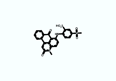 Cn1c(=O)cc2c3c(c(Nc4ccc(S(C)(=O)=O)cc4S(=O)(=O)O)ccc31)C(=O)c1ccccc1-2